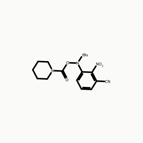 CC(C)(C)N(OC(=O)N1CCCCC1)c1cccc(C#N)c1[N+](=O)[O-]